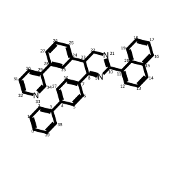 c1ccc(-c2ccc(C3=NC(c4cccc5ccccc45)=NCC3c3cccc(-c4cccnc4)c3)cc2)cc1